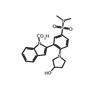 CN(C)S(=O)(=O)c1ccc(N2CCC(O)C2)c(-c2cc3ccccc3n2C(=O)O)c1